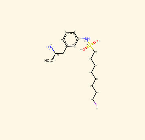 N[C@@H](Cc1cccc(NS(=O)(=O)CCCCCCCCI)c1)C(=O)O